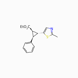 CCOC(=O)[C@@H]1[C@H](c2ccccc2)[C@H]1c1cnc(C)s1